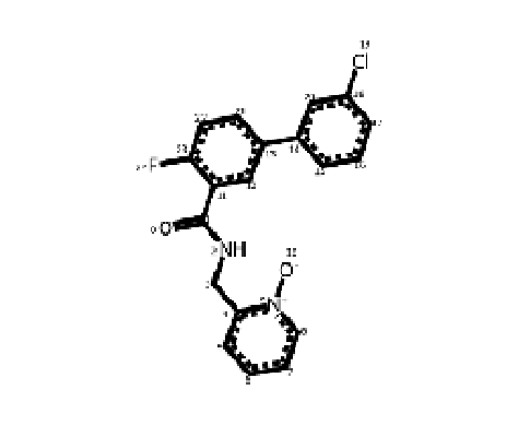 O=C(NCc1cccc[n+]1[O-])c1cc(-c2cccc(Cl)c2)ccc1F